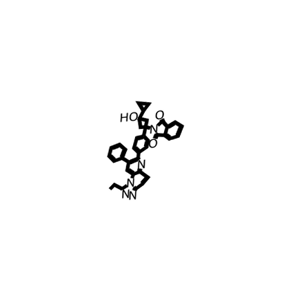 CCc1nnc2ccc3nc(-c4ccc(C5(N6C(=O)c7ccccc7C6=O)CC(O)(C6CC6)C5)cc4)c(-c4ccccc4)cc3n12